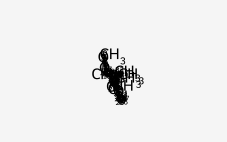 COCCCOc1cc2c(cc1Cl)-c1cc(=O)c(NC(=O)OCc3ccccn3)cn1C(C(C)(C)C)C2